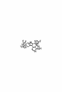 [2H]C([2H])([2H])[C@@]1(C(F)(F)F)Cn2nc(-c3ccc(F)cn3)c(-c3ccnc4[nH]nc(Cl)c34)c2CO1